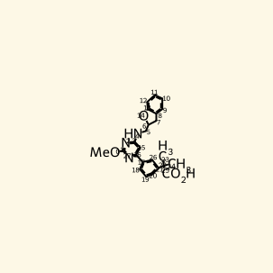 COc1nc(NCC2Cc3ccccc3O2)cc(-c2cccc(C(C)(C)C(=O)O)c2)n1